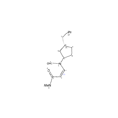 CNC(=O)/C=C\N(C=O)C1CC[C@@H](CC(C)C)C1